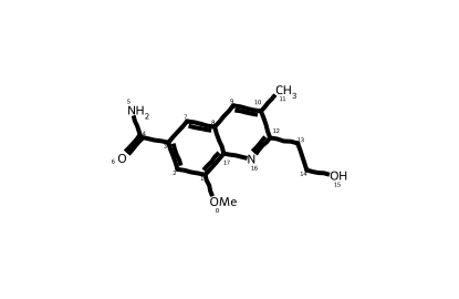 COc1cc(C(N)=O)cc2cc(C)c(CCO)nc12